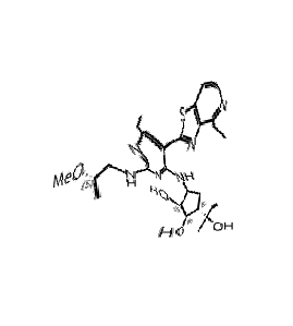 CO[C@@H](C)CNc1nc(C)c(-c2nc3c(C)nccc3s2)c(NC2C[C@H](C(C)(C)O)[C@@H](O)[C@H]2O)n1